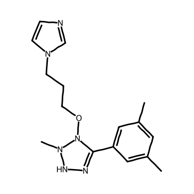 Cc1cc(C)cc(C2=NNN(C)N2OCCCn2ccnc2)c1